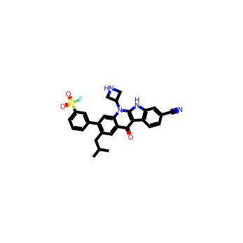 CC(C)Cc1cc2c(=O)c3c4ccc(C#N)cc4[nH]c3n(C3CNC3)c2cc1-c1cccc(S(=O)(=O)F)c1